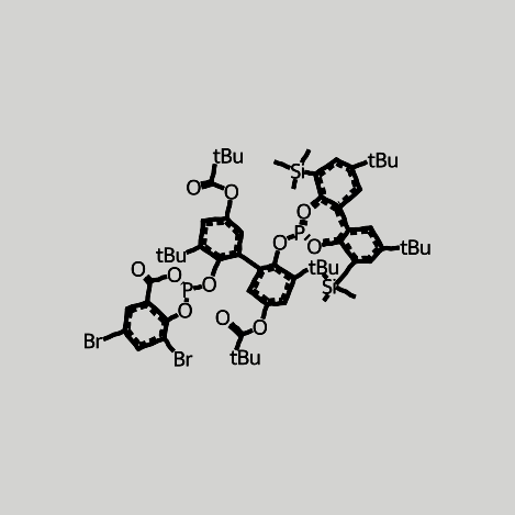 CC(C)(C)C(=O)Oc1cc(-c2cc(OC(=O)C(C)(C)C)cc(C(C)(C)C)c2Op2oc3c([Si](C)(C)C)cc(C(C)(C)C)cc3c3cc(C(C)(C)C)cc([Si](C)(C)C)c3o2)c(OP2OC(=O)c3cc(Br)cc(Br)c3O2)c(C(C)(C)C)c1